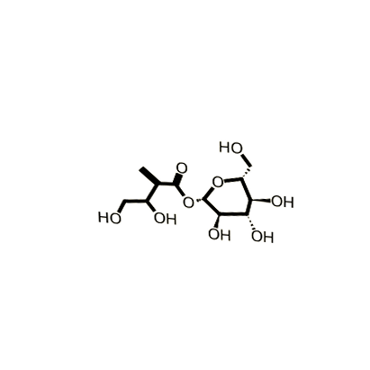 C=C(C(=O)O[C@@H]1O[C@H](CO)[C@@H](O)[C@H](O)[C@H]1O)C(O)CO